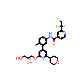 Cc1ccc(NC(=O)c2ccnc(C(F)(F)CF)c2)cc1-c1cc(OC[C@H](O)CO)nc(C2CCOCC2)c1